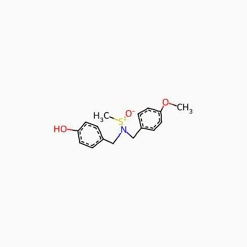 COc1ccc(CN(Cc2ccc(O)cc2)[S+](C)[O-])cc1